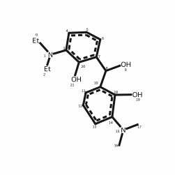 CCN(CC)c1cccc(C(O)c2cccc(N(C)C)c2O)c1O